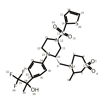 CC1CS(=O)(=O)CCN1C[C@H]1CN(S(=O)(=O)c2cccs2)CCN1c1ccc(C(C)(O)C(F)(F)F)cc1